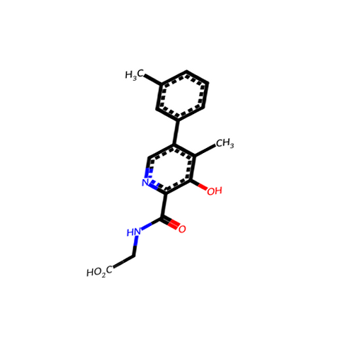 Cc1cccc(-c2cnc(C(=O)NCC(=O)O)c(O)c2C)c1